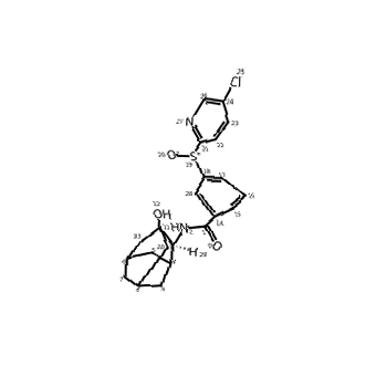 O=C(N[C@H]1C2CC3CC(C2)CC1(O)C3)c1cccc([S+]([O-])c2ccc(Cl)cn2)c1